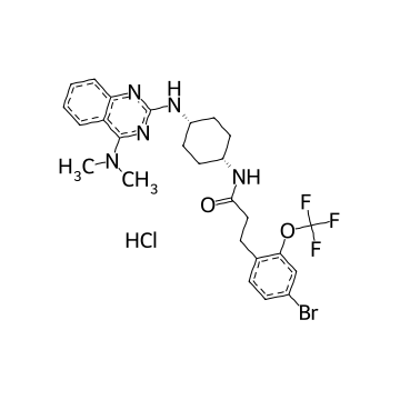 CN(C)c1nc(N[C@H]2CC[C@@H](NC(=O)CCc3ccc(Br)cc3OC(F)(F)F)CC2)nc2ccccc12.Cl